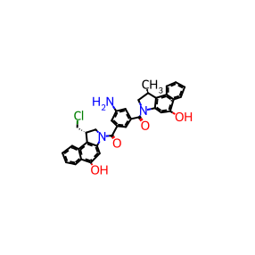 C[C@@H]1CN(C(=O)c2cc(N)cc(C(=O)N3C[C@@H](CCl)c4c3cc(O)c3ccccc43)c2)c2cc(O)c3ccccc3c21